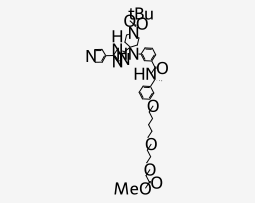 COC(=O)COCCCOCCCCCOc1cccc([C@@H](C)NC(=O)c2cccc(NC3(c4nnc(-c5ccncc5)[nH]4)CCN(C(=O)OC(C)(C)C)CC3)c2)c1